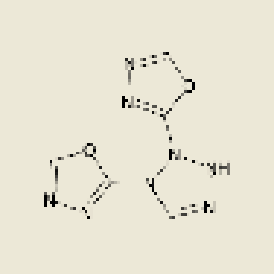 [C]1=NNN(c2nnco2)N1c1nnco1